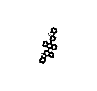 c1ccc2c(c1)oc1cc(-c3c4ccccc4c(-c4cc5oc6ccccc6c5c5ccccc45)c4ccccc34)ccc12